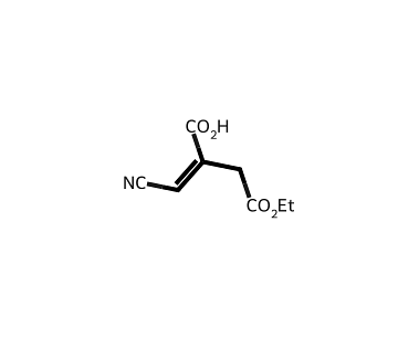 CCOC(=O)C/C(=C/C#N)C(=O)O